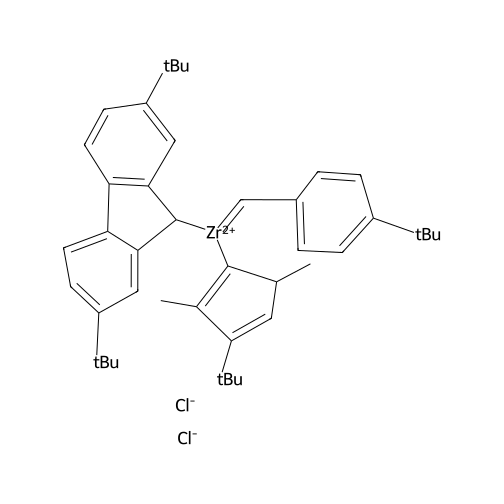 CC1=[C](/[Zr+2](=[CH]\c2ccc(C(C)(C)C)cc2)[CH]2c3cc(C(C)(C)C)ccc3-c3ccc(C(C)(C)C)cc32)C(C)C=C1C(C)(C)C.[Cl-].[Cl-]